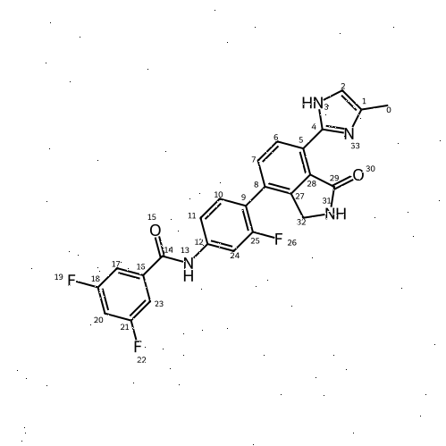 Cc1c[nH]c(-c2ccc(-c3ccc(NC(=O)c4cc(F)cc(F)c4)cc3F)c3c2C(=O)NC3)n1